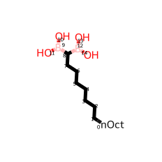 CCCCCCCCCCCCCCCC(B(O)O)B(O)O